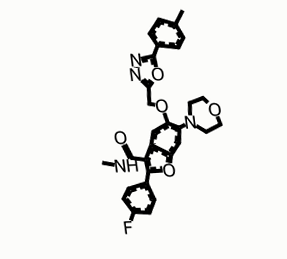 CNC(=O)c1c(-c2ccc(F)cc2)oc2cc(N3CCOCC3)c(OCc3nnc(-c4ccc(C)cc4)o3)cc12